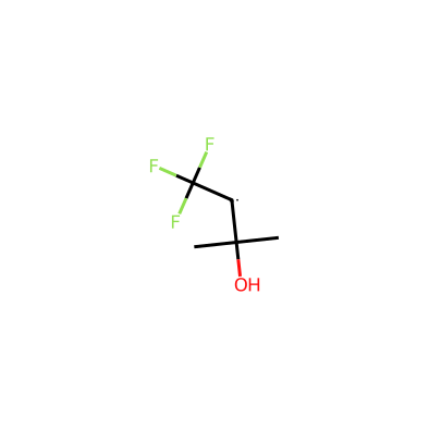 CC(C)(O)[CH]C(F)(F)F